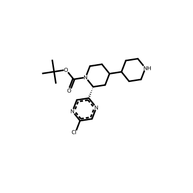 CC(C)(C)OC(=O)N1CCC(C2CCNCC2)C[C@@H]1c1cnc(Cl)cn1